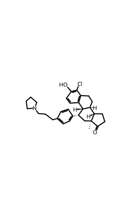 C[C@]12C[C@H](c3ccc(CCCN4CCCC4)cc3)[C@@H]3c4ccc(O)c(Cl)c4CC[C@H]3[C@@H]1CCC2=O